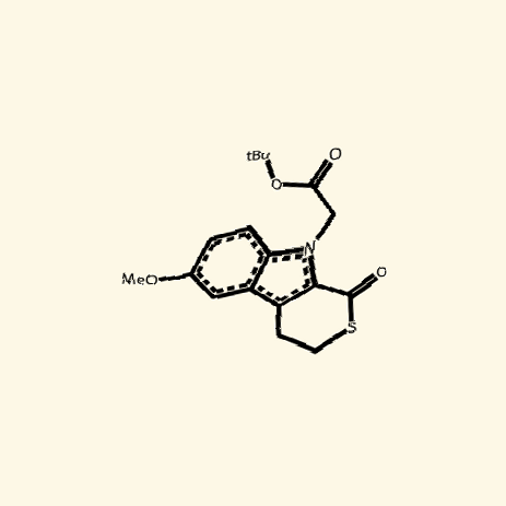 COc1ccc2c(c1)c1c(n2CC(=O)OC(C)(C)C)C(=O)SCC1